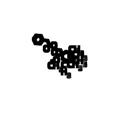 CCOC(=O)C1(CCOC(=O)Cc2ccccc2)CC(C)(C)N(C)C(C)(C)C1